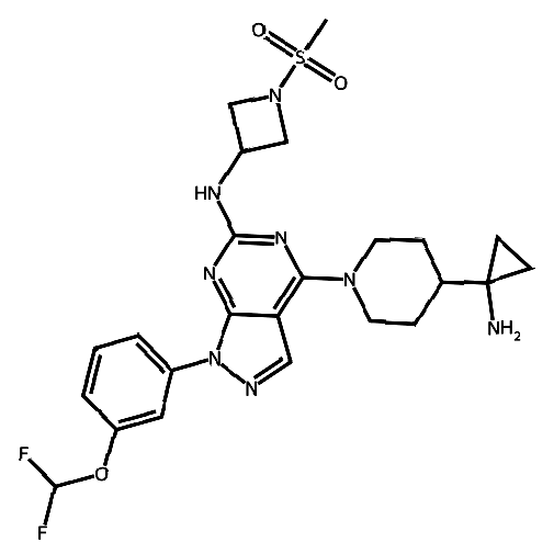 CS(=O)(=O)N1CC(Nc2nc(N3CCC(C4(N)CC4)CC3)c3cnn(-c4cccc(OC(F)F)c4)c3n2)C1